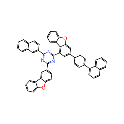 C1=CC(c2cc(-c3nc(-c4ccc5ccccc5c4)nc(-c4ccc5oc6ccccc6c5c4)n3)c3c(c2)oc2ccccc23)CC=C1c1cccc2ccccc12